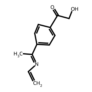 C=CN=C(C)c1ccc(C(=O)CO)cc1